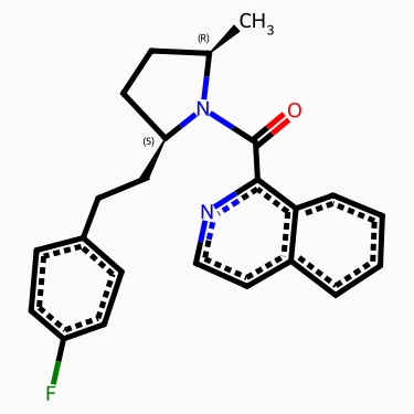 C[C@@H]1CC[C@H](CCc2ccc(F)cc2)N1C(=O)c1nccc2ccccc12